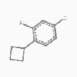 Fc1cc(Cl)ccc1C1[CH]CC1